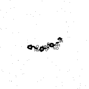 O=Nc1cc(S(=O)(=O)NC(=O)c2ccc(NC(=O)C=Cc3ccccc3)cc2)ccc1NCC[SH]1C=CC=C1